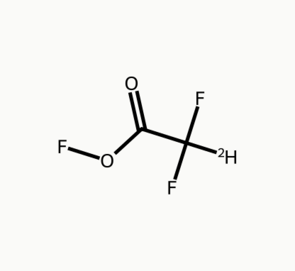 [2H]C(F)(F)C(=O)OF